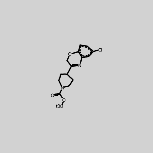 CC(C)(C)OC(=O)N1CCC(C2=Nc3cc(Cl)ccc3OC2)CC1